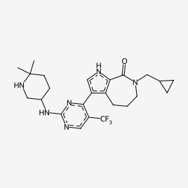 CC1(C)CCC(Nc2ncc(C(F)(F)F)c(-c3c[nH]c4c3CCCN(CC3CC3)C4=O)n2)CN1